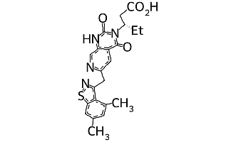 CC[C@@H](CC(=O)O)n1c(=O)[nH]c2cnc(Cc3nsc4cc(C)cc(C)c34)cc2c1=O